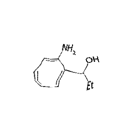 CCC(O)c1ccccc1N